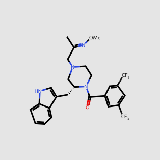 CON=C(C)CN1CCN(C(=O)c2cc(C(F)(F)F)cc(C(F)(F)F)c2)[C@H](Cc2c[nH]c3ccccc23)C1